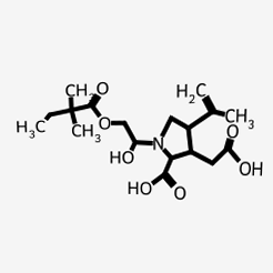 C=C(C)C1CN(C(O)COC(=O)C(C)(C)CC)C(C(=O)O)C1CC(=O)O